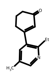 CCc1ncc(C)cc1C1=CC(=O)CCC1